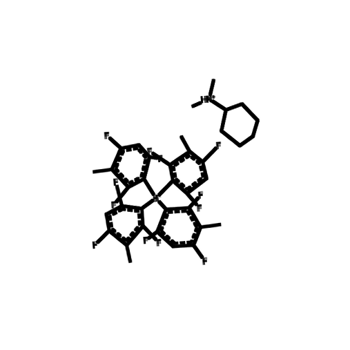 C[NH+](C)C1CCCCC1.Cc1c(F)cc(F)c([B-](c2c(F)cc(F)c(C)c2F)(c2c(F)cc(F)c(C)c2F)c2c(F)cc(F)c(C)c2F)c1F